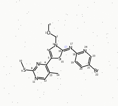 COCn1cc(-c2nc(SC)ncc2C)s/c1=N\c1ccc(Br)cn1